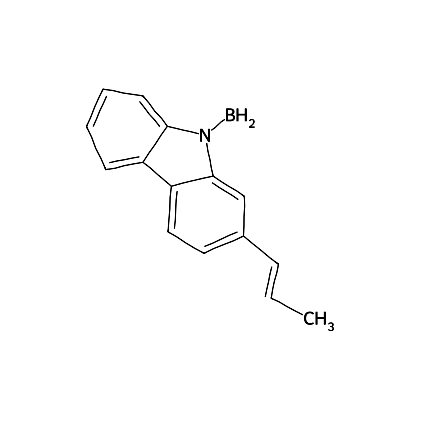 Bn1c2ccccc2c2ccc(/C=C/C)cc21